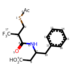 CC(=O)SCC(C(=O)NC(CC(=O)O)Cc1ccccc1)C(F)(F)F